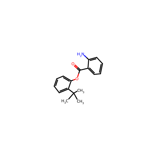 CC(C)(C)c1ccccc1OC(=O)c1ccccc1N